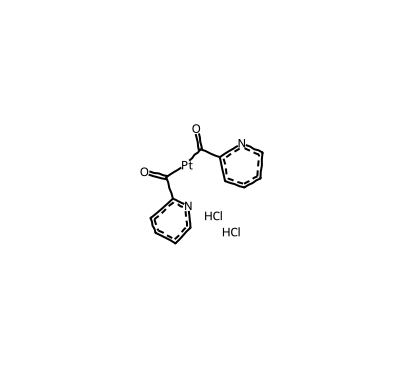 Cl.Cl.O=[C]([Pt][C](=O)c1ccccn1)c1ccccn1